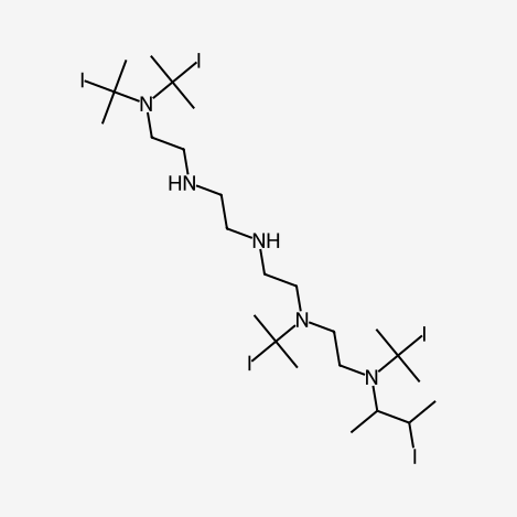 CC(I)C(C)N(CCN(CCNCCNCCN(C(C)(C)I)C(C)(C)I)C(C)(C)I)C(C)(C)I